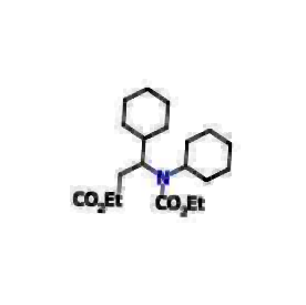 CCOC(=O)CC(C1CCCCC1)N(C(=O)OCC)C1CCCCC1